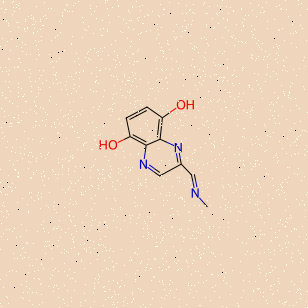 C/N=C/c1cnc2c(O)ccc(O)c2n1